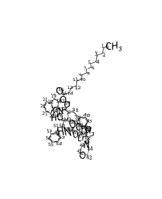 CCCCCCCCCCCCCCCC(=O)OC1Cc2ccccc2C1NC(=O)C(Cc1ccc(OCCN2CCOCC2)cc1)CC(O)C(Cc1ccccc1)NC(=O)OC(C)(C)C